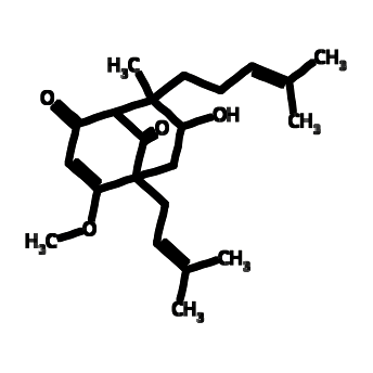 COC1=CC(=O)C2C(=O)C1(CC=C(C)C)CC(O)C2(C)CCC=C(C)C